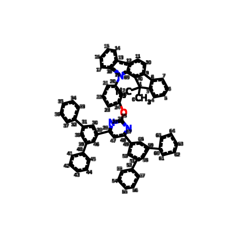 CC1(C)c2ccccc2-c2ccc3c4ccccc4n(-c4cccc(Oc5nc(-c6cc(-c7ccccc7)cc(-c7ccccc7)c6)cc(-c6cc(-c7ccccc7)cc(-c7ccccc7)c6)n5)c4)c3c21